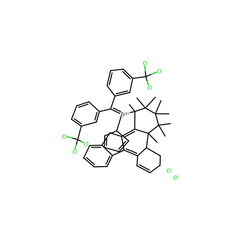 CC12C(=C3Cc4ccccc4C3=C3C=CCCC31)[C](C)([Zr+2](=[C](c1cccc(C(Cl)(Cl)Cl)c1)c1cccc(C(Cl)(Cl)Cl)c1)[CH]1C=CC=C1)C(C)(C)C(C)(C)C2(C)C.[Cl-].[Cl-]